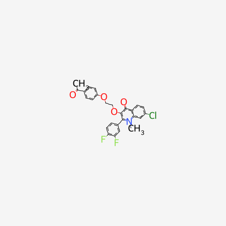 CC(=O)c1ccc(OCCOc2c(-c3ccc(F)c(F)c3)n(C)c3cc(Cl)ccc3c2=O)cc1